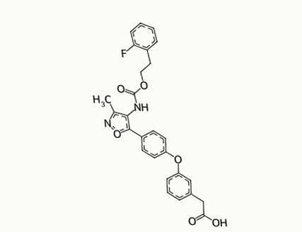 Cc1noc(-c2ccc(Oc3cccc(CC(=O)O)c3)cc2)c1NC(=O)OCCc1ccccc1F